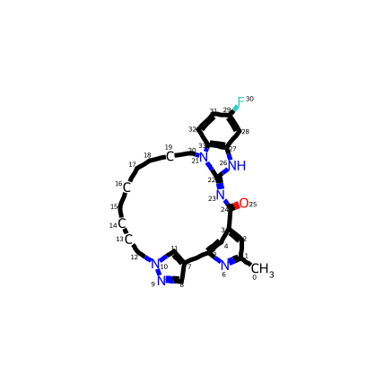 Cc1cc2cc(n1)-c1cnn(c1)CCCCCCCCCN1/C(=N/C2=O)Nc2cc(F)ccc21